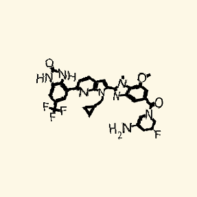 COc1cc(C(=O)N2C[C@H](N)C[C@@H](F)C2)cc2nc(-c3cc4ccc(-c5cc(C(F)(F)F)cc6[nH]c(=O)[nH]c56)nc4n3CC3CC3)n(C)c12